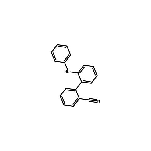 N#Cc1ccccc1-c1ccccc1Nc1ccccc1